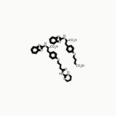 CCOC(=O)CCCOc1ccc(C[C@H](Nc2nc3ccccc3o2)C(=O)O)cc1.O=C(CCCOc1ccc(C[C@H](Nc2nc3ccccc3o2)C(=O)O)cc1)NC1=NCCCN1